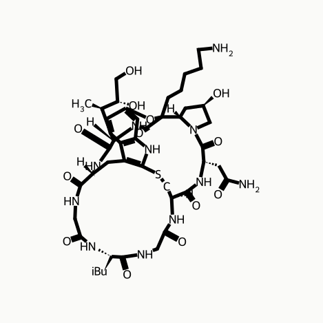 CC[C@H](C)[C@@H]1NC(=O)CNC(=O)[C@H]2Cc3c4[nH]c5cc(ccc35)OC(CCCCCN)(C(=O)N[C@@H]([C@@H](C)[C@@H](O)CO)C(=O)N2)[C@@H]2C[C@@H](O)CN2C(=O)[C@H](CC(N)=O)NC(=O)[C@H](CS4)NC(=O)CNC1=O